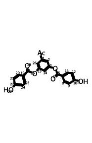 CC(=O)c1cc(OC(=O)c2ccc(O)cc2)cc(OC(=O)c2ccc(O)cc2)c1